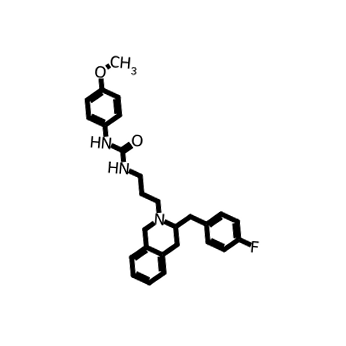 COc1ccc(NC(=O)NCCCN2Cc3ccccc3CC2Cc2ccc(F)cc2)cc1